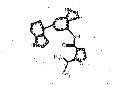 CC(C)n1nccc1C(=O)Nc1cc(-c2cccc3[nH]ccc23)cc2[nH]ncc12